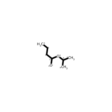 CCCC([O])OC(C)C